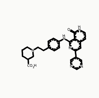 O=C(O)C1CCCN(CCc2ccc(Nc3nc(-c4cncnc4)cc4cc[nH]c(=O)c34)cc2)C1